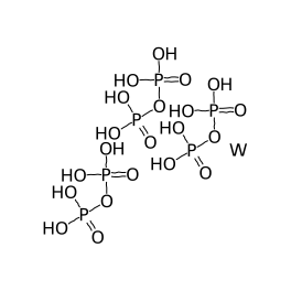 O=P(O)(O)OP(=O)(O)O.O=P(O)(O)OP(=O)(O)O.O=P(O)(O)OP(=O)(O)O.[W]